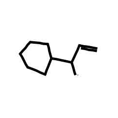 [CH2]C(C=C)C1CCCCC1